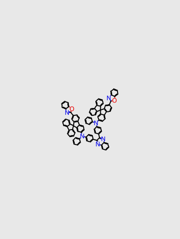 c1ccc(N(c2ccc(-c3nc4ccccc4nc3-c3ccc(N(c4ccccc4)c4ccc5c(c4)C4(c6ccccc6-c6ccccc64)c4cc(-c6nc7ccccc7o6)ccc4-5)cc3)cc2)c2ccc3c(c2)C2(c4ccccc4-c4ccccc42)c2cc(-c4nc5ccccc5o4)ccc2-3)cc1